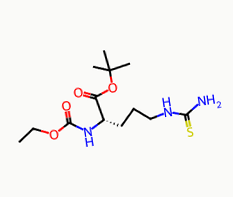 CCOC(=O)N[C@@H](CCCNC(N)=S)C(=O)OC(C)(C)C